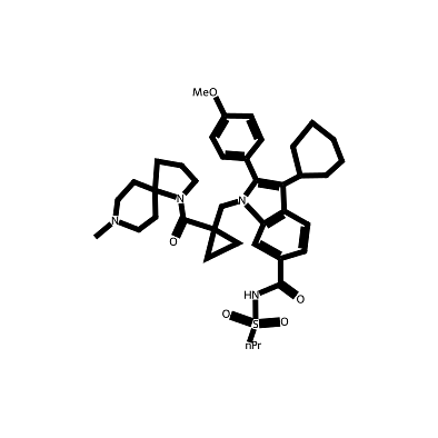 CCCS(=O)(=O)NC(=O)c1ccc2c(C3CCCCC3)c(-c3ccc(OC)cc3)n(CC3(C(=O)N4CCCC45CCN(C)CC5)CC3)c2c1